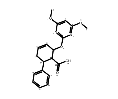 COc1cc(OC)nc(OC2C=CCC(c3ccccc3)C2C(=O)O)n1